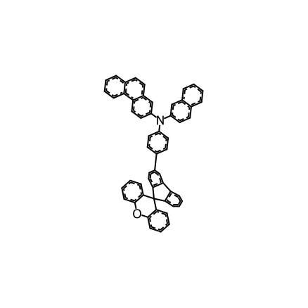 c1ccc2c(c1)Oc1ccccc1C21c2ccccc2-c2cc(-c3ccc(N(c4ccc5ccccc5c4)c4ccc5c(ccc6ccccc65)c4)cc3)ccc21